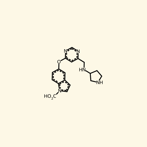 O=C(O)n1ccc2cc(Oc3cc(CNC4CCNC4)ncn3)ccc21